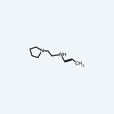 CC=CNCCN1CCCC1